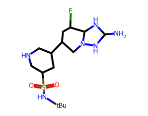 CC(C)(C)NS(=O)(=O)C1CNCC(C2CC(F)C3NC(N)NN3C2)C1